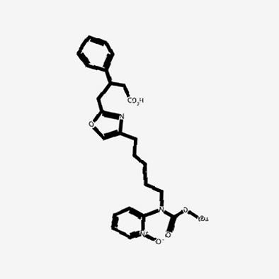 CC(C)(C)OC(=O)N(CCCCCc1coc(CC(CC(=O)O)c2ccccc2)n1)c1cccc[n+]1[O-]